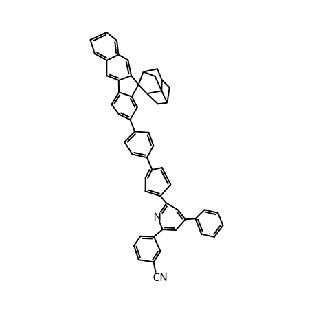 N#Cc1cccc(-c2cc(-c3ccccc3)cc(-c3ccc(-c4ccc(-c5ccc6c(c5)C5(c7cc8ccccc8cc7-6)C6CC7CC(C6)CC5C7)cc4)cc3)n2)c1